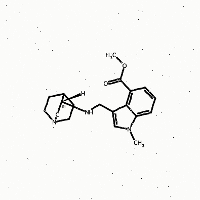 COC(=O)c1cccc2c1c(CN[C@@H]1CN3CCC1CC3)cn2C